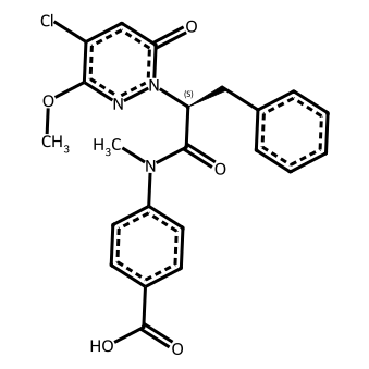 COc1nn([C@@H](Cc2ccccc2)C(=O)N(C)c2ccc(C(=O)O)cc2)c(=O)cc1Cl